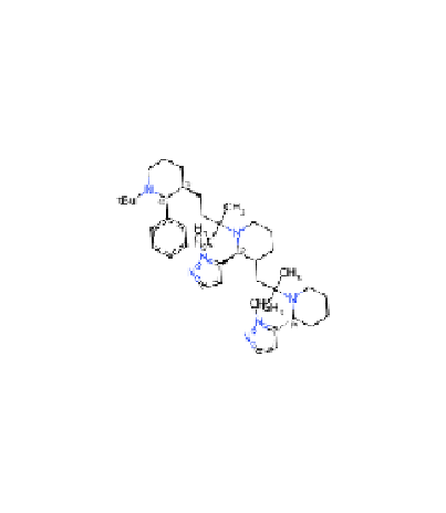 Cn1nccc1[C@H]1CCCCN1C(C)(C)CC1CCCN(C(C)(C)CC[C@@H]2CCCN(C(C)(C)C)[C@@H]2c2ccccc2)[C@@H]1c1ccnn1C